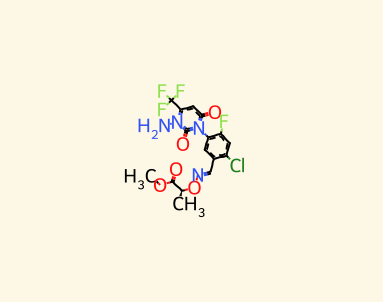 COC(=O)[C@H](C)O/N=C/c1cc(-n2c(=O)cc(C(F)(F)F)n(N)c2=O)c(F)cc1Cl